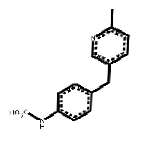 Cc1ccc(Cc2ccc(NC(=O)O)cc2)cn1